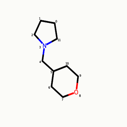 C1CCN(CC2CCOCC2)C1